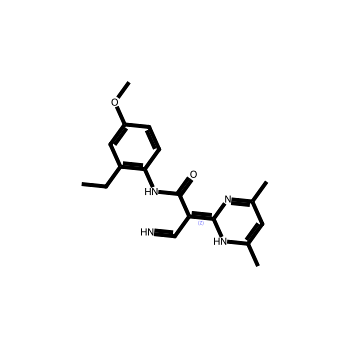 CCc1cc(OC)ccc1NC(=O)/C(C=N)=C1\N=C(C)C=C(C)N1